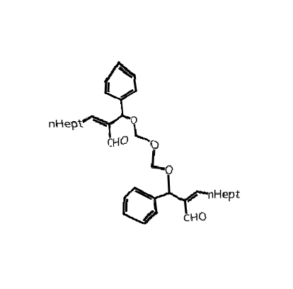 CCCCCCCC=C(C=O)C(OCOCOC(C(C=O)=CCCCCCCC)c1ccccc1)c1ccccc1